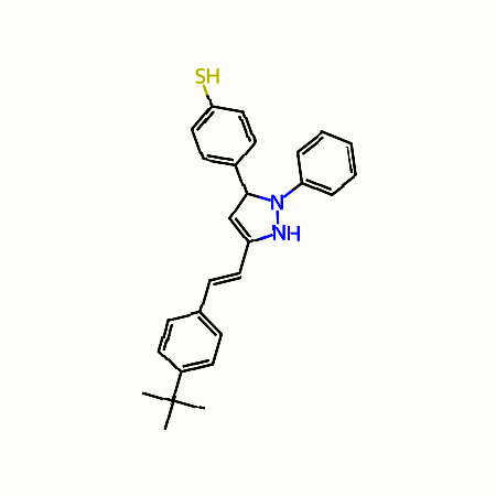 CC(C)(C)c1ccc(C=CC2=CC(c3ccc(S)cc3)N(c3ccccc3)N2)cc1